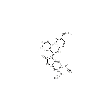 COc1ccc(NC(=C2C(=O)Nc3cc(OC)c(OC)cc32)c2ccccc2)cc1